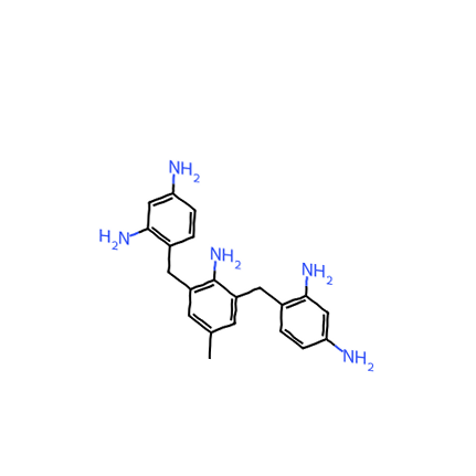 Cc1cc(Cc2ccc(N)cc2N)c(N)c(Cc2ccc(N)cc2N)c1